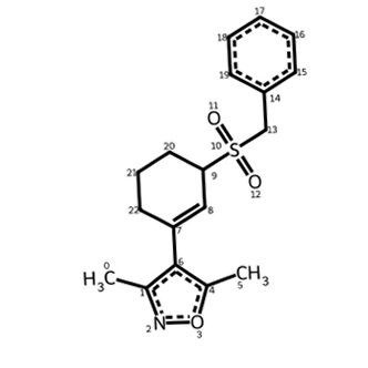 Cc1noc(C)c1C1=CC(S(=O)(=O)Cc2ccccc2)CCC1